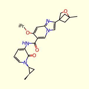 CC(C)Oc1cc2nc(C34COC(C)(C3)C4)cn2cc1C(=O)Nc1cccn([C@H]2C[C@H]2C)c1=O